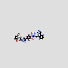 O=C(NCC1c2ccccc2-c2cncn21)Nc1ccc(-c2cnn(CCN3C(=O)CCC3=O)c2)c(F)c1